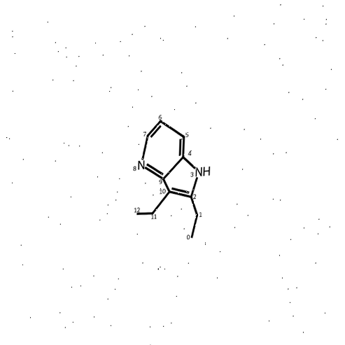 CCc1[nH]c2cccnc2c1CC